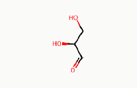 O=[C][C@@H](O)CO